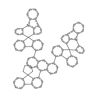 c1ccc2c(c1)-c1cccc(-c3c4cccc(-c5cccc6c5-c5ccccc5C65c6ccccc6-n6c7ccccc7c7cccc5c76)c4cc4c(-c5cccc6c5-c5ccccc5C65c6ccccc6-n6c7ccccc7c7cccc5c76)cccc34)c1C21CCCC1